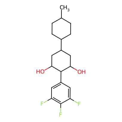 CC1CCC(C2CC(O)C(c3cc(F)c(F)c(F)c3)C(O)C2)CC1